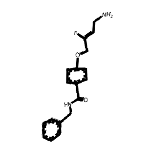 NCC=C(F)COc1ccc(C(=O)NCc2ccccc2)cc1